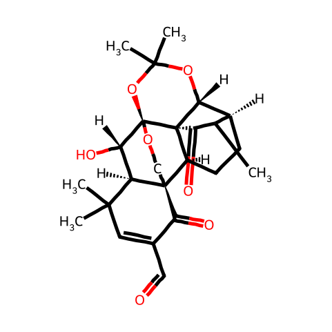 CC1C(=O)[C@@]23[C@@H]4OC(C)(C)O[C@]25OC[C@]2(C(=O)C(C=O)=CC(C)(C)[C@H]2[C@@H]5O)[C@@H]3CC[C@@H]14